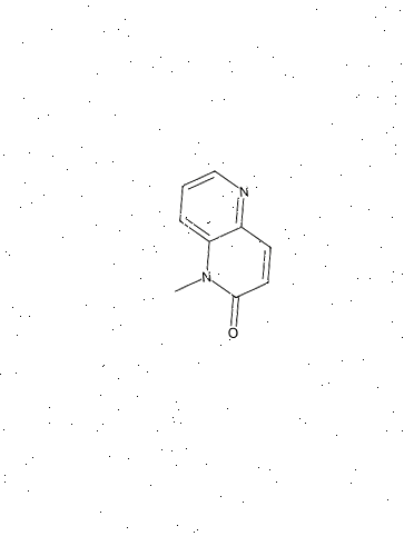 Cn1c(=O)ccc2ncccc21